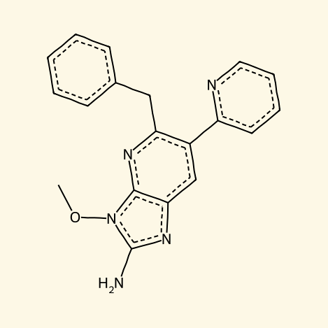 COn1c(N)nc2cc(-c3ccccn3)c(Cc3ccccc3)nc21